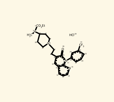 CCOC(=O)N(C)C1CCN(CCc2cc3cccnc3n(-c3cccc(C(F)(F)F)c3)c2=O)CC1.Cl